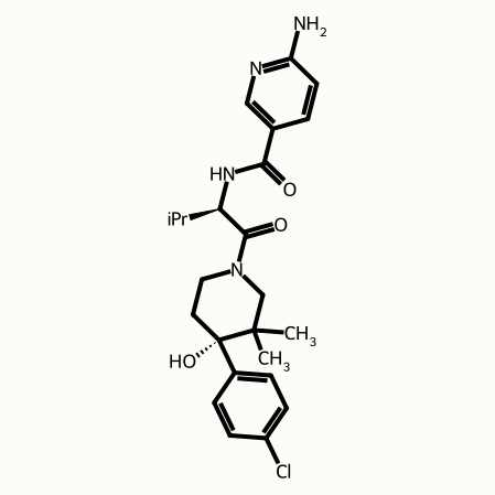 CC(C)[C@@H](NC(=O)c1ccc(N)nc1)C(=O)N1CC[C@](O)(c2ccc(Cl)cc2)C(C)(C)C1